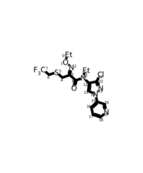 CCON=C(CSCC(F)(F)F)C(=O)N(CC)c1cn(-c2cccnc2)nc1Cl